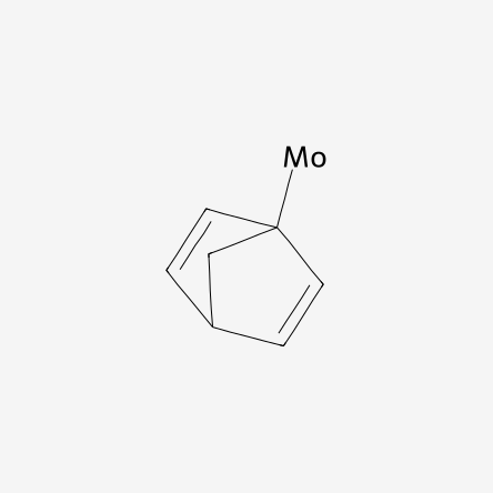 [Mo][C]12C=CC(C=C1)C2